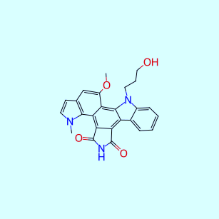 COc1cc2ccn(C)c2c2c3c(c4c5ccccc5n(CCCO)c4c12)C(=O)NC3=O